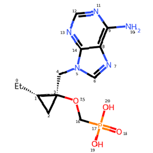 CC[C@H]1C[C@]1(Cn1cnc2c(N)ncnc21)OCP(=O)(O)O